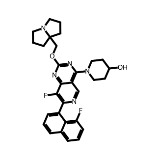 OC1CCN(c2nc(OCC34CCCN3CCC4)nc3c(F)c(-c4cccc5cccc(F)c45)ncc23)CC1